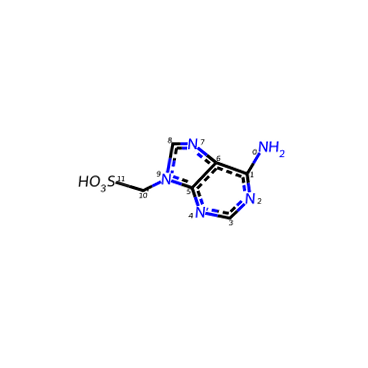 Nc1ncnc2c1ncn2[CH]S(=O)(=O)O